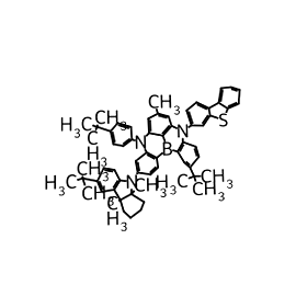 Cc1cc2c3c(c1)N(c1ccc(C(C)(C)C)cc1)c1cc(N4c5ccc(C(C)(C)C)cc5C5(C)CCCCC45C)ccc1B3c1cc(C(C)(C)C)ccc1N2c1ccc2c(c1)sc1ccccc12